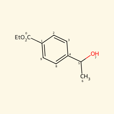 CCOC(=O)c1ccc(C(C)O)cc1